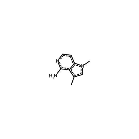 Cc1cn(C)c2ccnc(N)c12